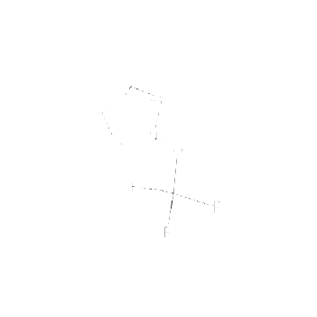 FC(F)(F)ON1C=[C]CO1